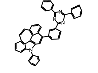 C1=Cc2cccc3c2c2c4c1cccc4c(-c1cccc(-c4nc(-c5ccccc5)nc(-c5ccccc5)n4)c1)cc2n3-c1ccccc1